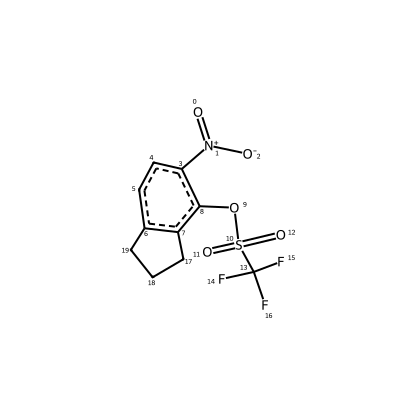 O=[N+]([O-])c1ccc2c(c1OS(=O)(=O)C(F)(F)F)CCC2